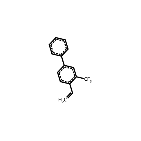 C=Cc1ccc(-c2ccccc2)cc1C(F)(F)F